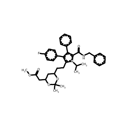 COC(=O)CC1CC(CCc2c(-c3ccc(F)cc3)c(-c3ccccc3)c(C(=O)NCc3ccccc3)n2C(C)C)OC(C)(C)O1